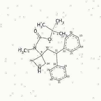 CN(C(=O)OC(C)(C)C)C1(CC(c2ccccc2)c2ccccc2)CNC1